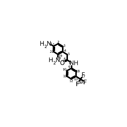 Nc1ccc(CC(=O)Nc2cccc(C(F)(F)F)c2)c(N)c1